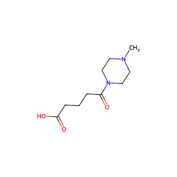 CN1CCN(C(=O)CCCC(=O)O)CC1